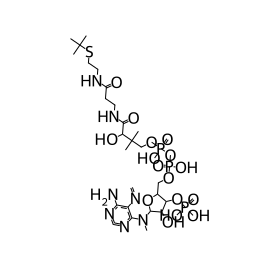 C=Nc1c(N)ncnc1N(C)C1OC(COP(=O)(O)OP(=O)(O)OCC(C)(C)C(O)C(=O)NCCC(=O)NCCSC(C)(C)C)C(OP(=O)(O)O)C1O